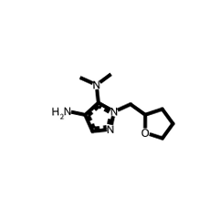 CN(C)c1c(N)cnn1CC1CCCO1